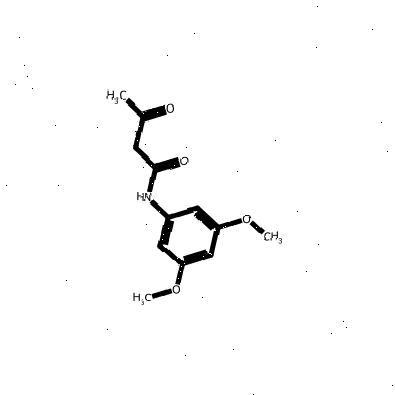 COc1cc(NC(=O)CC(C)=O)cc(OC)c1